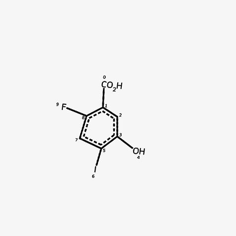 O=C(O)c1cc(O)c(I)cc1F